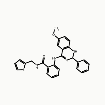 COc1ccc2c(c1)C(Nc1ccccc1C(=O)NCc1cccs1)=NC(c1cccnc1)N2